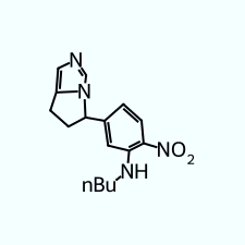 CCCCNc1cc(C2CCc3cncn32)ccc1[N+](=O)[O-]